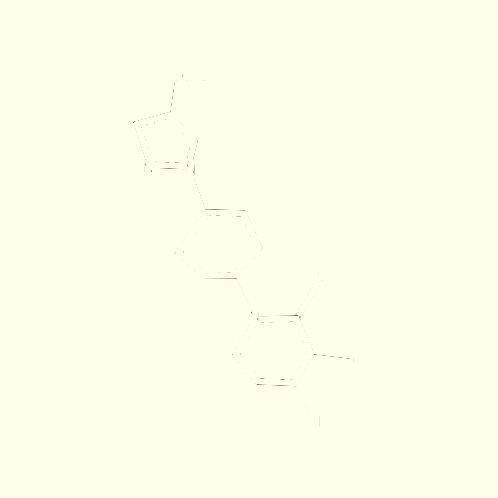 CCOC(=O)c1cnn(-c2ccc(-n3ccc(Cl)c(Cl)c3=O)cc2)c1